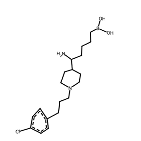 NC(CCCCB(O)O)C1CCN(CCCc2ccc(Cl)cc2)CC1